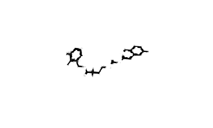 CC(C)(CCOC(=O)Nc1cc2cc(F)ccc2cn1)C(=O)NCc1cccc(F)c1Cl